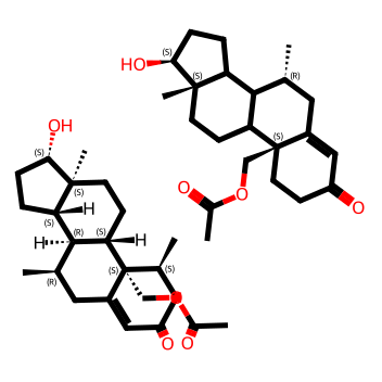 CC(=O)OC[C@@]12C(=CC(=O)C[C@@H]1C)C[C@@H](C)[C@H]1[C@@H]3CC[C@H](O)[C@@]3(C)CC[C@@H]12.CC(=O)OC[C@]12CCC(=O)C=C1C[C@@H](C)C1C2CC[C@@]2(C)C1CC[C@@H]2O